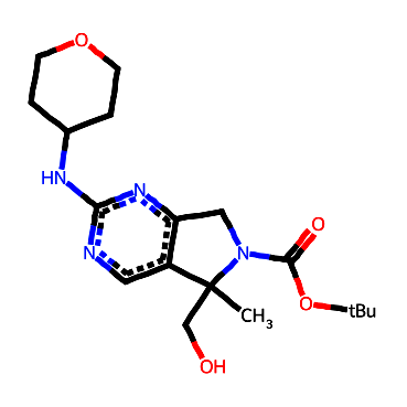 CC(C)(C)OC(=O)N1Cc2nc(NC3CCOCC3)ncc2C1(C)CO